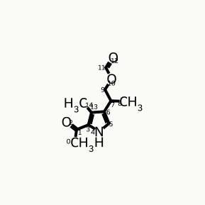 CC(=O)c1[nH]cc(C(C)COC=O)c1C